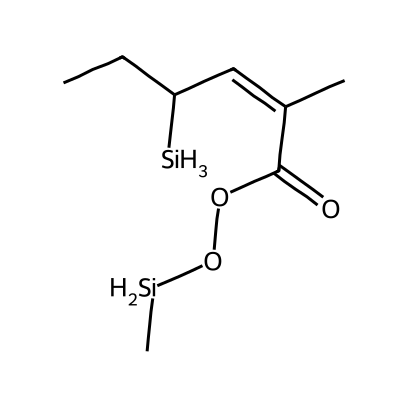 CCC([SiH3])C=C(C)C(=O)OO[SiH2]C